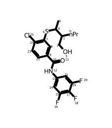 CCCC(CO)C(C)Sc1cc(C(=O)Nc2cc(F)c(F)c(F)c2)ccc1Cl